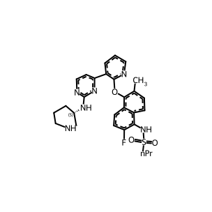 CCCS(=O)(=O)Nc1c(F)ccc2c(Oc3ncccc3-c3ccnc(N[C@H]4CCCNC4)n3)c(C)ccc12